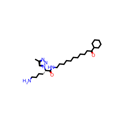 Cc1cn([C@@H](CCCCN)C(=O)NCCCCCCCCCCC(=O)C2CCCCC2)nn1